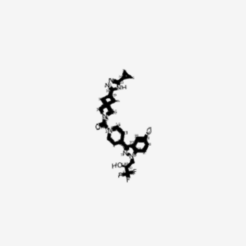 O=C(N1CCC(c2nn(C[C@H](O)C(F)(F)F)c3ccc(Cl)cc23)CC1)N1CC2(CC(c3nnc(C4CC4)[nH]3)C2)C1